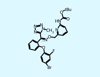 Cn1nnnc1/C(=N\OCc1cccc(NC(=O)OC(C)(C)C)n1)c1ccccc1Oc1ccc(Br)cc1F